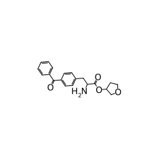 NC(Cc1ccc(C(=O)c2ccccc2)cc1)C(=O)OC1CCOC1